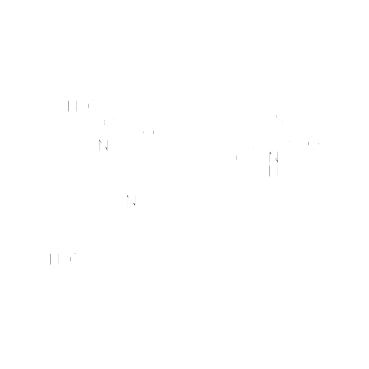 CCc1ccc(/C(COc2ccc(CC3SC(=O)NC3=O)cc2)=N/OC)nc1